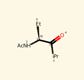 CC[C@H](NC(C)=O)C(=O)C(C)C